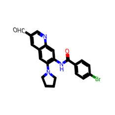 O=Cc1cnc2cc(NC(=O)c3ccc(Br)cc3)c(N3CCCC3)cc2c1